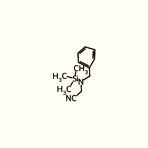 C[Si](C)(C)N(CC#N)Cc1ccccc1